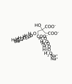 O.O.O.O.O.O.O.O.O.O.O.O.O=C([O-])CC(O)(CC(=O)[O-])C(=O)[O-].[Na+].[Na+].[Na+]